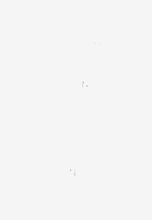 Nc1c[c]cc(N(C=O)C=O)c1